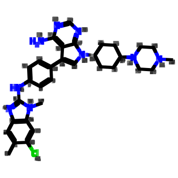 Cc1cc2nc(Nc3ccc(-c4cn([C@H]5CC[C@H](N6CCN(C)CC6)CC5)c5ncnc(N)c45)cc3)n(C)c2cc1Cl